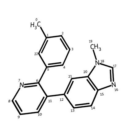 Cc1cccc(-c2ncccc2-c2ccc3ncn(C)c3c2)c1